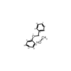 CO.c1ccc(COc2ccccc2)cc1